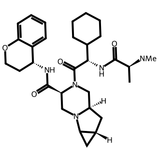 CN[C@@H](C)C(=O)N[C@H](C(=O)N1C[C@H]2C[C@@H]3CC3N2C[C@H]1C(=O)N[C@@H]1CCOc2ccccc21)C1CCCCC1